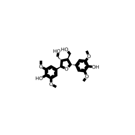 COc1cc([C@@H]2O[C@@H](c3cc(OC)c(O)c(OC)c3)[C@H](CO)[C@H]2CO)cc(OC)c1O